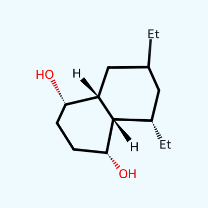 CCC1C[C@H](CC)[C@H]2[C@@H](C1)[C@@H](O)CC[C@H]2O